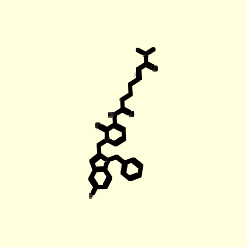 CN(C)C(=O)/C=C/CC[CH]C(=O)Nc1cccn(Cc2cc3cc(F)ccc3n2Cc2ccccc2)c1=O